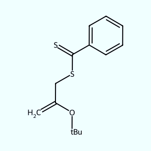 C=C(CSC(=S)c1ccccc1)OC(C)(C)C